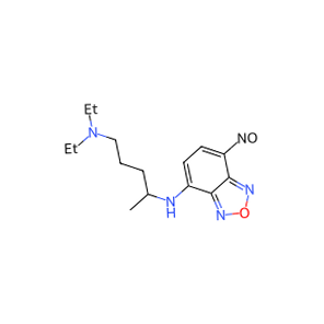 CCN(CC)CCCC(C)Nc1ccc(N=O)c2nonc12